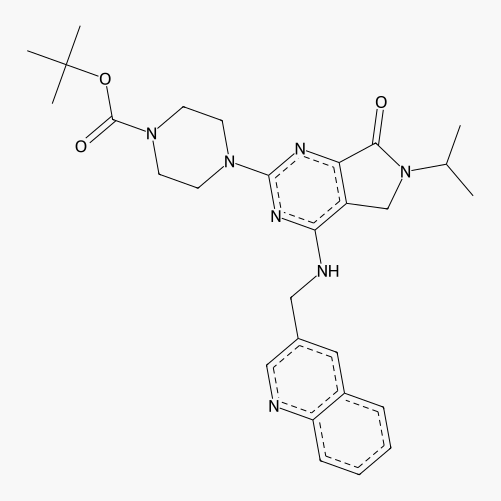 CC(C)N1Cc2c(NCc3cnc4ccccc4c3)nc(N3CCN(C(=O)OC(C)(C)C)CC3)nc2C1=O